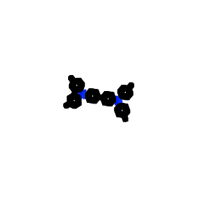 Cc1ccc(N(c2ccc(C)cc2)c2ccc(-c3ccc(-n4c5ccc(C)cc5c5cc(C)ccc54)cc3)cc2)cc1